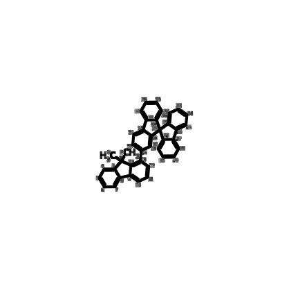 CC1(C)c2ccccc2-c2cccc(-c3ccc4c(c3)C3(c5ccccc5-c5ccccc53)c3ccccc3-4)c21